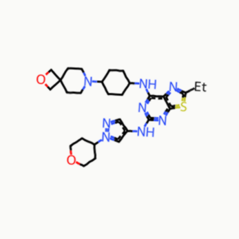 CCc1nc2c(NC3CCC(N4CCC5(CC4)COC5)CC3)nc(Nc3cnn(C4CCOCC4)c3)nc2s1